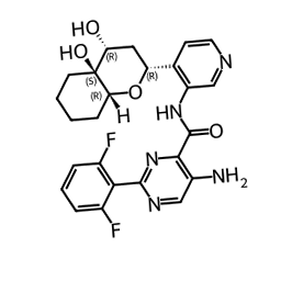 Nc1cnc(-c2c(F)cccc2F)nc1C(=O)Nc1cnccc1[C@H]1C[C@@H](O)[C@@]2(O)CCCC[C@H]2O1